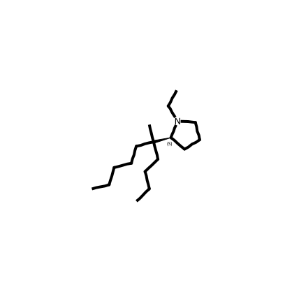 CCCCCC(C)(CCCC)[C@@H]1CCCN1CC